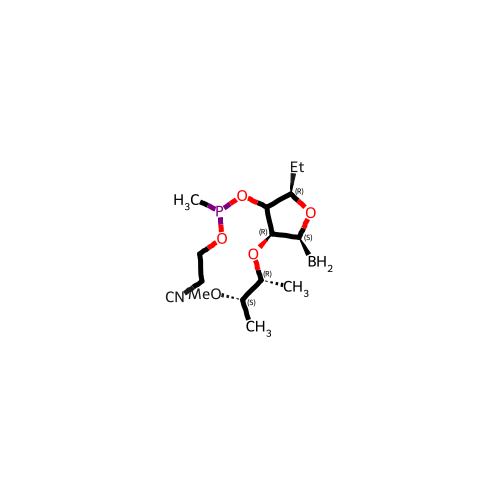 B[C@@H]1O[C@H](CC)C(OP(C)OCC[N+]#[C-])[C@@H]1O[C@H](C)[C@H](C)OC